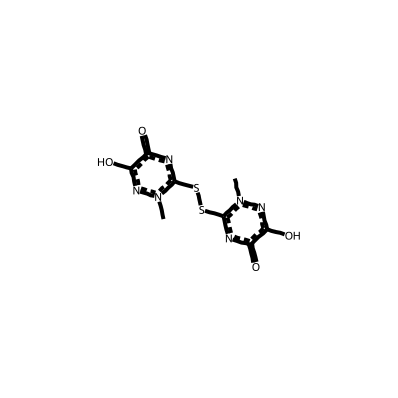 Cn1nc(O)c(=O)nc1SSc1nc(=O)c(O)nn1C